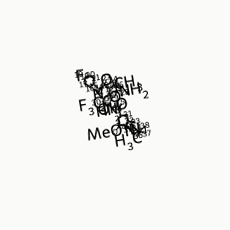 COc1cc(C(=O)NCC(O)(c2cc3c(c(-c4ccc(F)cc4)n2)OC[C@]3(C)C(N)=O)C(F)(F)F)cc2cn(C3(C)CC3)nc12